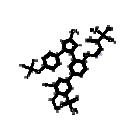 Cc1nc(-c2ccc(OC(F)(F)F)cc2)c(-c2cc(-c3cc(F)c(CO)c(S(C)(=O)=O)c3)ccc2N/C=C\C(=N)C(C)(C)O)o1